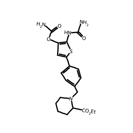 CCOC(=O)C1CCCCN1Cc1ccc(-c2cc(OC(N)=O)c(NC(N)=O)s2)cc1